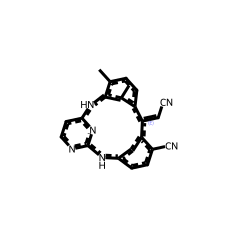 Cc1ccc2c(C)c1[nH]c1ccnc(n1)[nH]c1ccc(C#N)c(c1)/c2=C/C#N